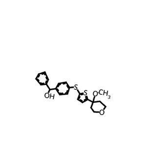 COC1(c2ccc(Sc3ccc(C(O)c4ccccc4)cc3)s2)CCOCC1